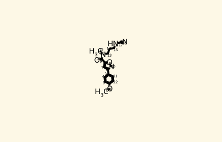 COc1ccc(-c2cc(C(=O)N(C)CCCNC#N)on2)cc1